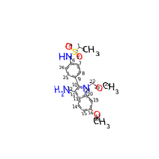 CCS(=O)(=O)Nc1ccc(-c2c(N)c3ccc(OC)cc3n2COC)cc1